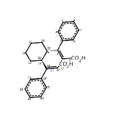 O=C(O)C=C(c1ccccc1)[C@H]1CCCC[C@@H]1/C(=C\C(=O)O)c1ccccc1